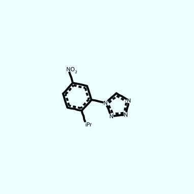 CC(C)c1ccc([N+](=O)[O-])cc1-n1cnnn1